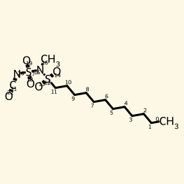 CCCCCCCCCCCCS(=O)(=O)N(C)S(=O)(=O)N=C=O